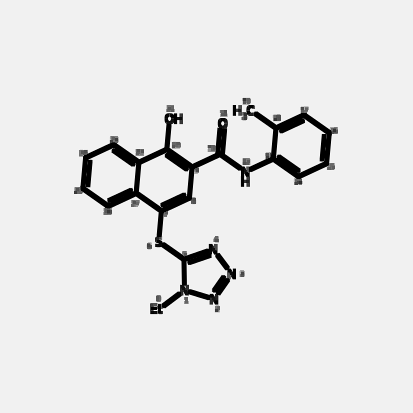 CCn1nnnc1Sc1cc(C(=O)Nc2ccccc2C)c(O)c2ccccc12